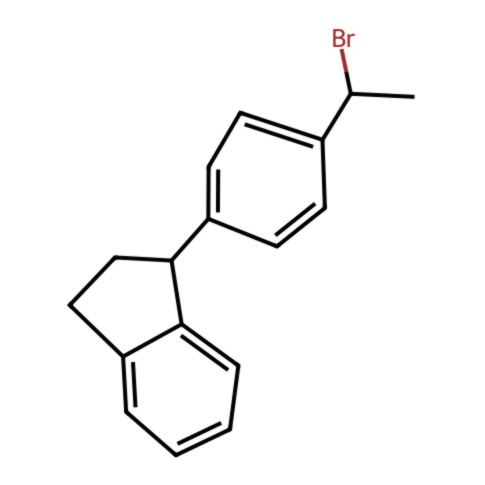 CC(Br)c1ccc(C2CCc3ccccc32)cc1